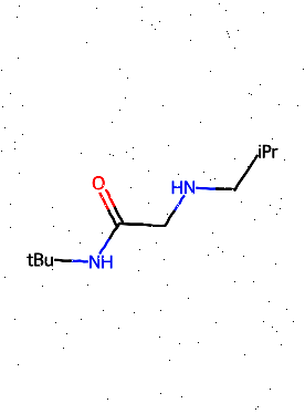 CC(C)CNCC(=O)NC(C)(C)C